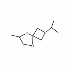 CC1COC2(CN(C(C)C)C2)O1